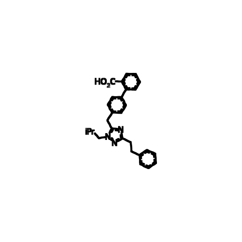 CC(C)Cn1nc(CCc2ccccc2)nc1Cc1ccc(-c2ccccc2C(=O)O)cc1